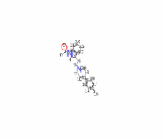 CC(=O)N1CC(CCN2CCC(c3ccc(C)cc3)CC2)c2ccccc21